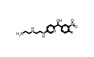 NCCNCCNc1ccc(C(O)c2ccc(F)c([N+](=O)[O-])c2)nc1